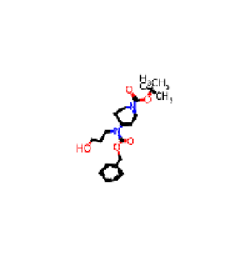 CC(C)(C)OC(=O)N1CCC(N(CCCO)C(=O)OCc2ccccc2)CC1